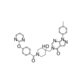 Cc1ccc(-n2ncc3c(=O)n(CC4(O)CCN(C(=O)c5ccc(Oc6ncccn6)cc5)CC4)cnc32)cc1